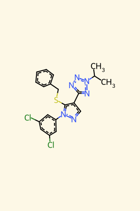 CC(C)n1nnc(-c2cnn(-c3cc(Cl)cc(Cl)c3)c2SCc2ccccc2)n1